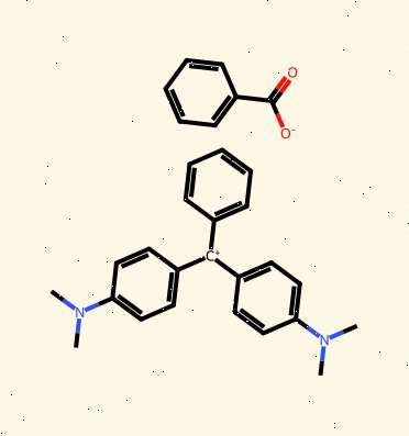 CN(C)c1ccc([C+](c2ccccc2)c2ccc(N(C)C)cc2)cc1.O=C([O-])c1ccccc1